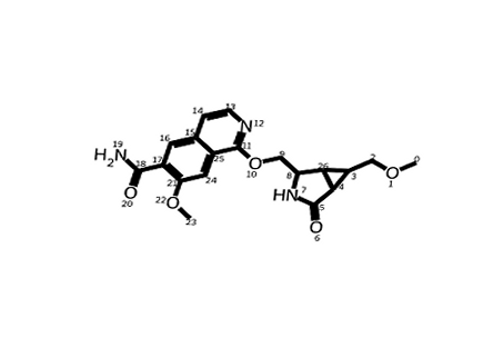 COCC1C2C(=O)NC(COc3nccc4cc(C(N)=O)c(OC)cc34)C12